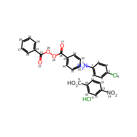 Cl.Nc1ccc(Cl)cc1.O=C(O)c1ccc([N+](=O)[O-])cc1.O=C(OOC(=O)c1ccccc1)c1ccccc1